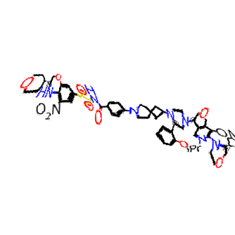 COc1c(N2CCOC[C@@H]2C)ncc2c1COC[C@@H]2N1CCN(C2CC3(CCN(c4ccc(C(=O)NS(=O)(=O)c5cc6c(c([N+](=O)[O-])c5)N[C@H](C5CCOCC5)CO6)cc4)CC3)C2)[C@H](c2ccccc2OC(C)C)C1